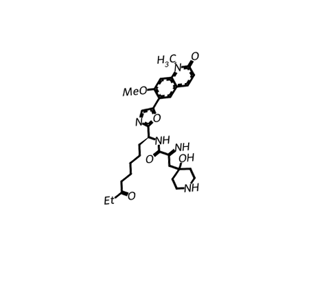 CCC(=O)CCCCC[C@H](NC(=O)C(=N)CC1(O)CCNCC1)c1ncc(-c2cc3ccc(=O)n(C)c3cc2OC)o1